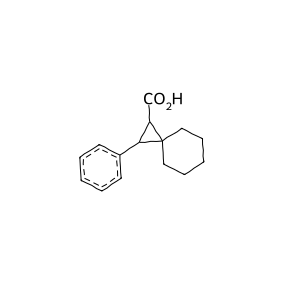 O=C(O)C1C(c2ccccc2)C12CCCCC2